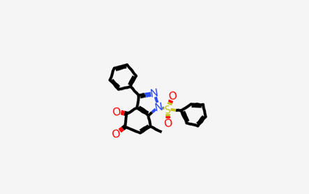 CC1=CC(=O)C(=O)c2c(-c3ccccc3)nn(S(=O)(=O)c3ccccc3)c21